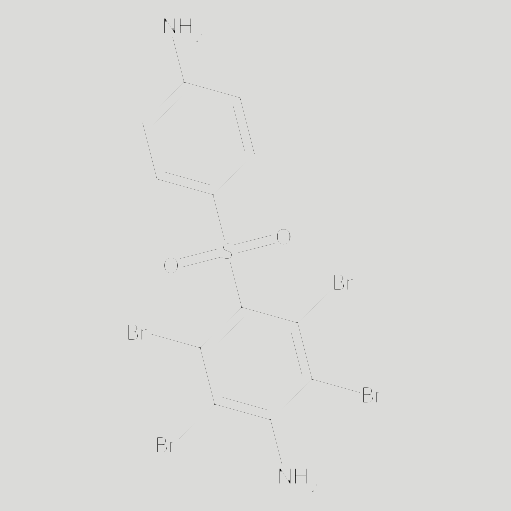 Nc1ccc(S(=O)(=O)c2c(Br)c(Br)c(N)c(Br)c2Br)cc1